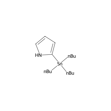 CCC[CH2][Sn]([CH2]CCC)([CH2]CCC)[c]1ccc[nH]1